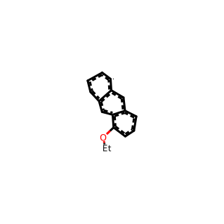 CCOc1cccc2cc3[c]cccc3cc12